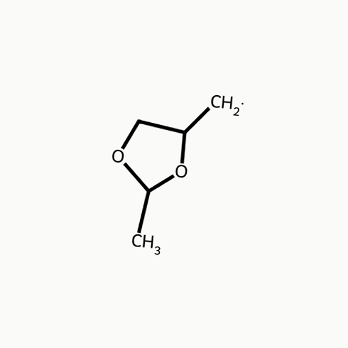 [CH2]C1COC(C)O1